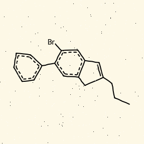 CCCC1=Cc2cc(Br)c(-c3ccccc3)cc2C1